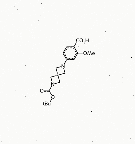 COc1cc(N2CC3(CN(C(=O)OC(C)(C)C)C3)C2)ccc1C(=O)O